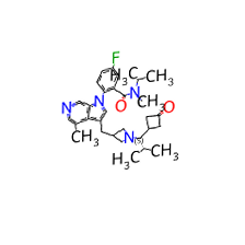 Cc1cncc2c1c(CC1CN([C@@H](C(C)C)C3CC(=O)C3)C1)cn2-c1ccc(F)cc1C(=O)N(C)C(C)C